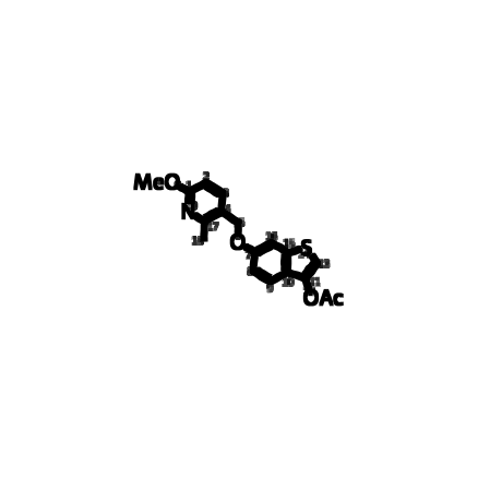 COc1ccc(COc2ccc3c(OC(C)=O)csc3c2)c(C)n1